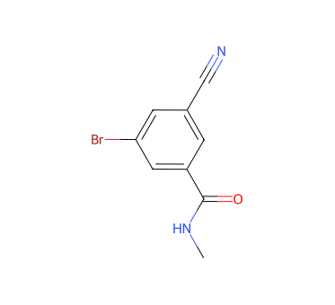 CNC(=O)c1cc(Br)cc(C#N)c1